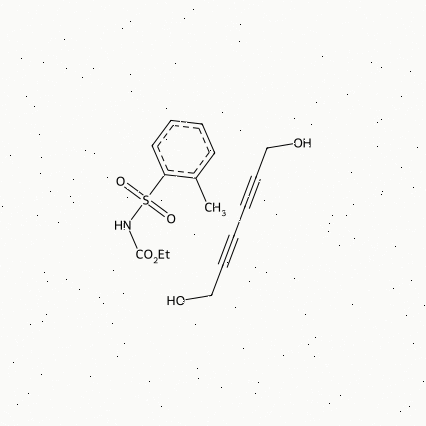 CCOC(=O)NS(=O)(=O)c1ccccc1C.OCC#CC#CCO